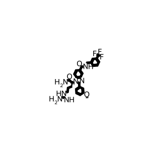 COc1cccc(-c2nc3cc(C(=O)NCc4cccc(C(F)(F)F)c4)ccc3n2[C@@H](CCCNC(=N)N)C(N)=O)c1